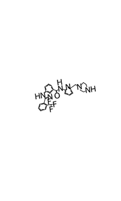 O=C(Nc1cccc(CN2CCNCC2)n1)c1cccc2[nH]c(-c3ccccc3C(F)(F)F)nc12